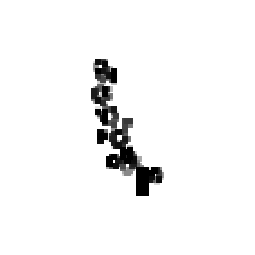 CC(=O)NC[C@H]1CN(c2cc(F)c(-c3ccc(-c4ccc(-c5cocn5)s4)nc3)c(F)c2)C(=O)O1